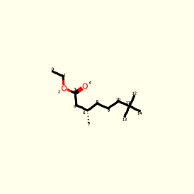 CCOC(=O)C[C@@H](C)CCCC(C)(C)C